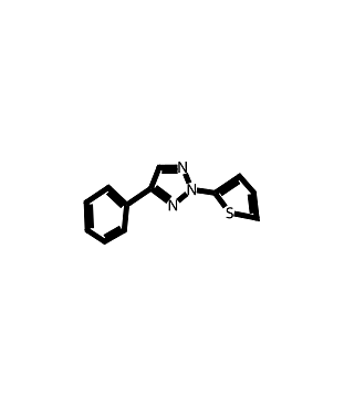 c1ccc(-c2cnn(-c3cccs3)n2)cc1